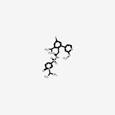 COc1cc(-c2cc(F)cc(C(C)C)c2CC(=O)NS(=O)(=O)c2ccc(=O)n(C(C)C)c2)ccn1